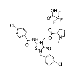 CN1CCCC1C(=O)OCN1C(=O)N(Cc2ccc(Cl)cc2)SC1NC(=O)c1ccc(Cl)cc1.O=C(O)C(F)(F)F